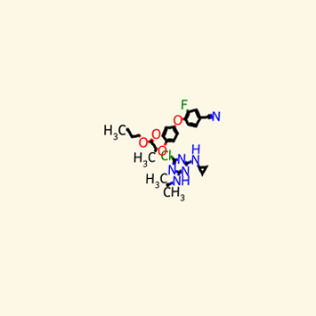 CC(C)Nc1nc(Cl)nc(NC2CC2)n1.CCCCOC(=O)C(C)Oc1ccc(Oc2ccc(C#N)cc2F)cc1